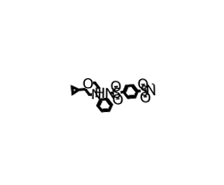 CN(C)S(=O)(=O)c1ccc(S(=O)(=O)Nc2ccccc2N2CCOC(C3CC3)C2)cc1